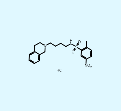 Cc1ccc([N+](=O)[O-])cc1S(=O)(=O)NCCCCN1CCc2ccccc2C1.Cl